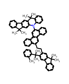 Cc1ccccc1C(C)(C)c1cc2c(cc1CCc1cc3c4ccccc4c(N4c5ccccc5C(C)(C)c5cc6c(cc54)C(C)(C)c4ccccc4-6)cc3c3ccccc13)C(C)(C)c1ccccc1-2